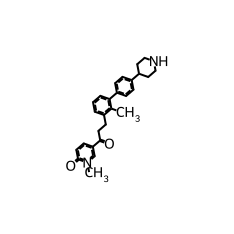 Cc1c(CCC(=O)c2ccc(=O)n(C)c2)cccc1-c1ccc(C2CCNCC2)cc1